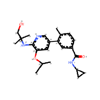 Cc1ccc(C(=O)NC2CC2)cc1-c1cnc(NC(C)(C)CO)c(OC(C)C)c1